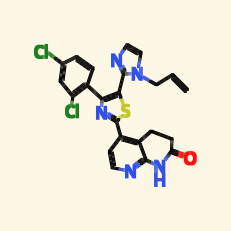 C=CCn1ccnc1-c1sc(-c2ccnc3c2CCC(=O)N3)nc1-c1ccc(Cl)cc1Cl